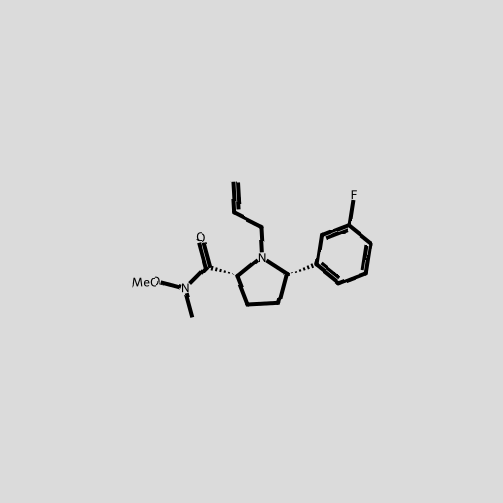 C=CCN1[C@@H](C(=O)N(C)OC)CC[C@H]1c1cccc(F)c1